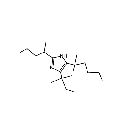 CCCCCC(C)(C)c1[nH]c(C(C)CCC)nc1C(C)(C)CC